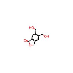 O=C1OCc2cc(CO)c(CO)cc21